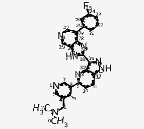 CN(C)Cc1cncc(-c2ccc3[nH]nc(-c4nc5c(-c6cccc(F)c6)cncc5[nH]4)c3n2)c1